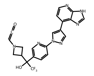 O=C=CN1CC(C(O)(c2ccc(-n3cc(-c4ccnc5[nH]cnc45)cn3)nc2)C(F)(F)F)C1